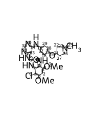 COc1cc(OC)c(Cl)c(NC(=O)Nc2cc(Nc3ccc(OC4CCN(C)CC4)cc3)ncn2)c1N